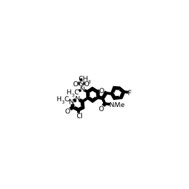 CNC(=O)c1c(-c2ccc(F)cc2)oc2cc(N(C)S(C)(=O)=O)c(-c3cc(Cl)c(=O)n(C)n3)cc12